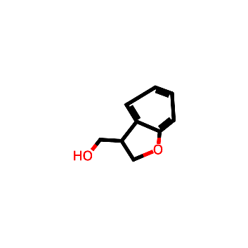 OCC1COc2ccccc21